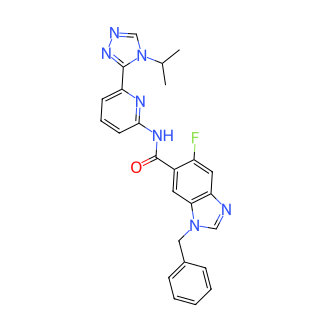 CC(C)n1cnnc1-c1cccc(NC(=O)c2cc3c(cc2F)ncn3Cc2ccccc2)n1